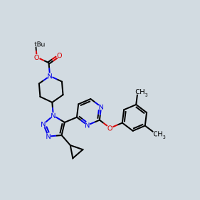 Cc1cc(C)cc(Oc2nccc(-c3c(C4CC4)nnn3C3CCN(C(=O)OC(C)(C)C)CC3)n2)c1